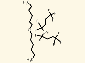 CCCCCCOCCCCCC.FC(F)(F)CC[C](F)(F)[Sn][C](F)(F)CCC(F)(F)F